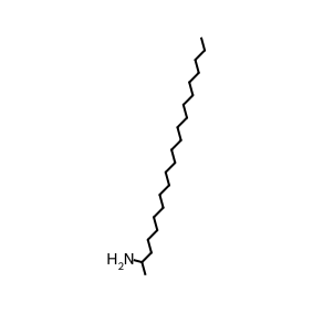 CCCCCCCCCCCCCCCCCCCCC(C)N